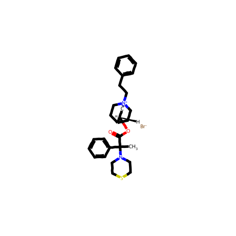 CC(C(=O)O[C@H]1C[N+]2(CCc3ccccc3)CCC1CC2)(c1ccccc1)N1CCSCC1.[Br-]